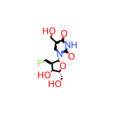 O=c1[nH]c(=O)n([C@@H]2O[C@H](CO)[C@@H](O)C2=CF)cc1CO